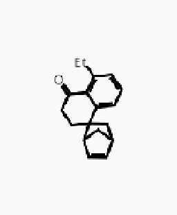 CCc1cccc2c1C(=O)CCC21CC2C=CC1C2